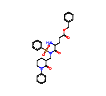 NC(CCC(=O)OCc1ccccc1)C(=O)N(CC1CCCN(c2ccccc2)C1=O)S(=O)(=O)c1ccccc1